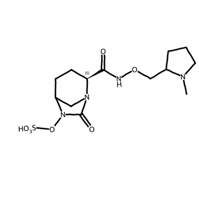 CN1CCCC1CONC(=O)[C@@H]1CCC2CN1C(=O)N2OS(=O)(=O)O